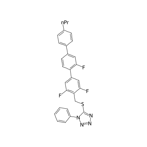 CCCc1ccc(-c2ccc(-c3cc(F)c(CSc4nnnn4-c4ccccc4)c(F)c3)c(F)c2)cc1